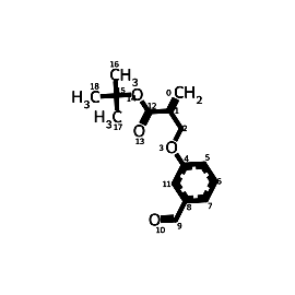 C=C(COc1cccc(C=O)c1)C(=O)OC(C)(C)C